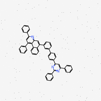 c1ccc(-c2cc(-c3ccc(-c4cccc(-c5cc6nc(-c7ccccc7)cc(-c7ccccc7)c6c6ccccc56)c4)cc3)nc(-c3ccccc3)n2)cc1